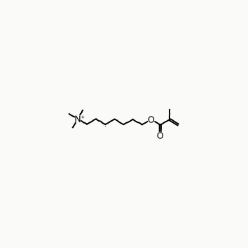 C=C(C)C(=O)OCCCC[CH]CC[N+](C)(C)C